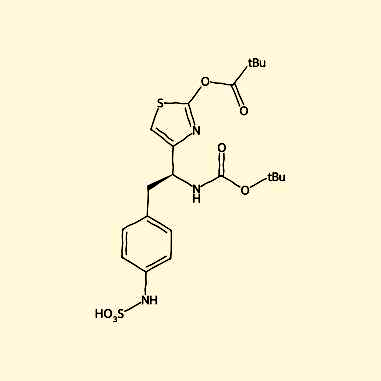 CC(C)(C)OC(=O)N[C@@H](Cc1ccc(NS(=O)(=O)O)cc1)c1csc(OC(=O)C(C)(C)C)n1